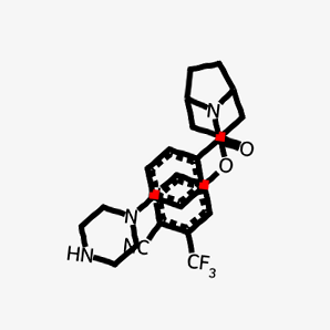 N#Cc1ncc(OC2CC3CCC(C2)N3C(=O)c2ccc(N3CCNCC3)cc2)cc1C(F)(F)F